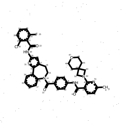 Cc1ccc(C(=O)Nc2ccc(C(=O)N3CCc4cc(NC(=O)c5c(F)cccc5Cl)sc4-c4ccccc43)cc2)c(N2CC3(CCOCC3)C2)n1